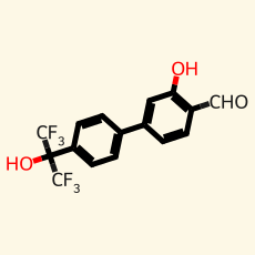 O=Cc1ccc(-c2ccc(C(O)(C(F)(F)F)C(F)(F)F)cc2)cc1O